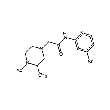 CC(=O)N1CCN(CC(=O)Nc2cc(Br)ccn2)CC1C